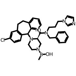 CB(O)N1CCN(C2c3ccc(Cl)cc3CCc3cccnc32)[C@@H](C(=O)N(CCCn2ccnc2)Cc2ccccc2)C1